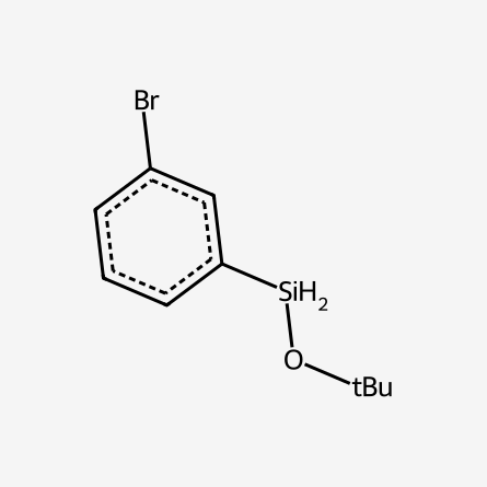 CC(C)(C)O[SiH2]c1cccc(Br)c1